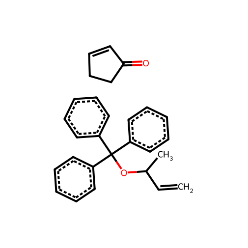 C=CC(C)OC(c1ccccc1)(c1ccccc1)c1ccccc1.O=C1C=CCC1